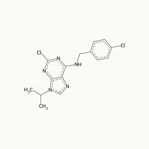 CC(C)n1cnc2c(NCc3ccc(Cl)cc3)nc(Cl)nc21